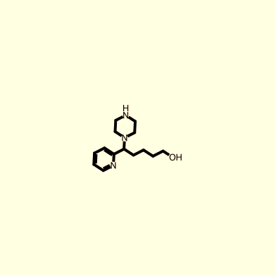 OCCCCC(c1ccccn1)N1CCNCC1